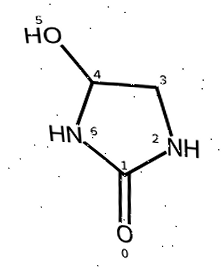 O=C1NCC(O)N1